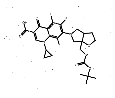 CC(C)(C)OC(=O)NCC12CN(c3c(F)c(F)c4c(=O)c(C(=O)O)cn(C5CC5)c4c3F)CC1CCO2